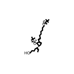 CC=C(CCCCO)[C@@H]1CC=C(/C=C/CCCCCCO[Si](C)(C)C(C)(C)C)[C@H]1O[Si](C)(C)C(C)(C)C